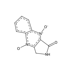 O=C1NCc2c1[n+]([O-])c1ccccc1[n+]2[O-]